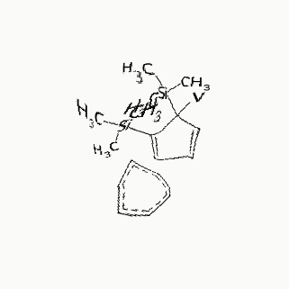 C[Si](C)(C)C1=CC=C[C]1([V])[Si](C)(C)C.c1ccccc1